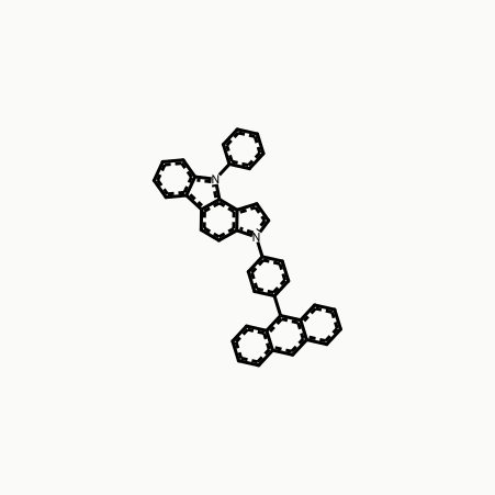 c1ccc(-n2c3ccccc3c3ccc4c(ccn4-c4ccc(-c5c6ccccc6cc6ccccc56)cc4)c32)cc1